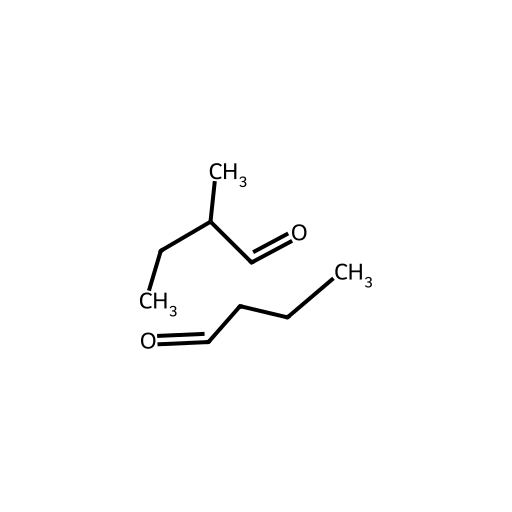 CCC(C)C=O.CCCC=O